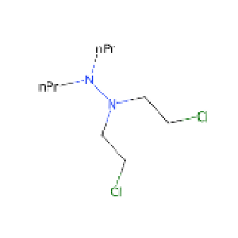 CCCN(CCC)N(CCCl)CCCl